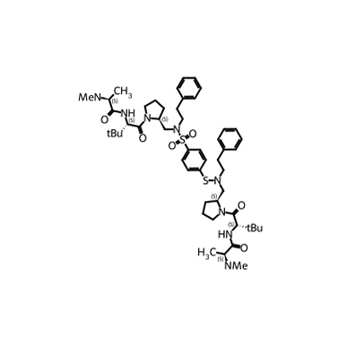 CN[C@@H](C)C(=O)N[C@H](C(=O)N1CCC[C@H]1CN(CCc1ccccc1)Sc1ccc(S(=O)(=O)N(CCc2ccccc2)C[C@@H]2CCCN2C(=O)[C@@H](NC(=O)[C@H](C)NC)C(C)(C)C)cc1)C(C)(C)C